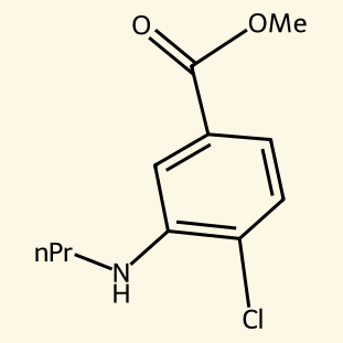 CCCNc1cc(C(=O)OC)ccc1Cl